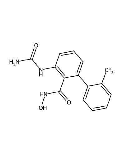 NC(=O)Nc1cccc(-c2ccccc2C(F)(F)F)c1C(=O)NO